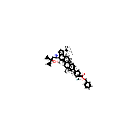 C=C(C)[C@@H]1CC[C@]2(NCCC(O)(C3CC3)C3CC3)CC[C@]3(C)[C@H](CC[C@@H]4[C@@]5(C)CC=C(C6=CC[C@](CF)(C(=O)OCc7ccccc7)CC6)C(C)(C)[C@@H]5CC[C@]43C)[C@@H]12